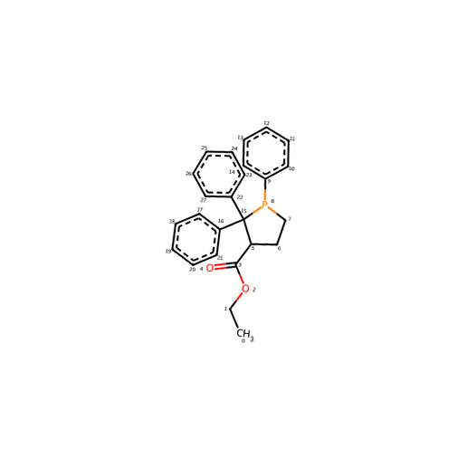 CCOC(=O)C1CCP(c2ccccc2)C1(c1ccccc1)c1ccccc1